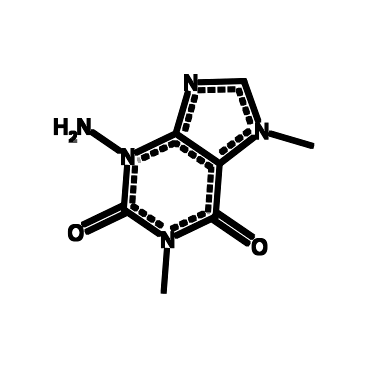 Cn1c(=O)c2c(ncn2C)n(N)c1=O